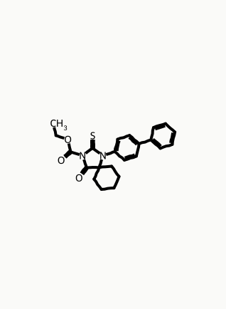 CCOC(=O)N1C(=O)C2(CCCCC2)N(c2ccc(-c3ccccc3)cc2)C1=S